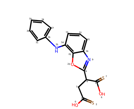 OC(=S)CC(C(O)=S)c1nc2cccc(Nc3ccccc3)c2o1